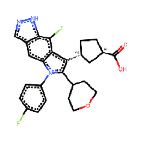 O=C(O)[C@@H]1CC[C@@H](c2c(C3CCOCC3)n(-c3ccc(F)cc3)c3cc4cn[nH]c4c(F)c23)C1